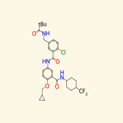 CC(C)(C)C(=O)NCc1ccc(Cl)c(C(=O)Nc2ccc(OCC3CC3)c(C(=O)NC3CCC(C(F)(F)F)CC3)c2)c1